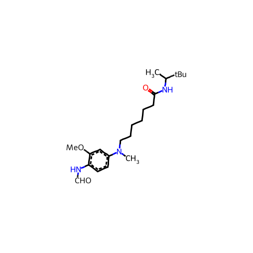 COc1cc(N(C)CCCCCCC(=O)NC(C)C(C)(C)C)ccc1NC=O